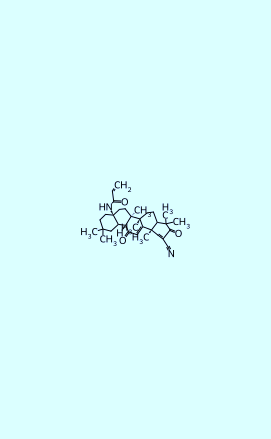 C=CC(=O)N[C@]12CCC(C)(C)CC1[C@H]1C(=O)C=C3[C@@]4(C)C=C(C#N)C(=O)C(C)(C)C4CC[C@@]3(C)[C@]1(C)CC2